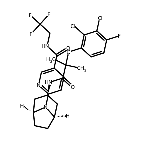 CC(C)(Oc1ccc(F)c(Cl)c1Cl)C(=O)N[C@H]1C[C@H]2CC[C@@H](C1)N2c1ccc(C(=O)NCC(F)(F)F)cn1